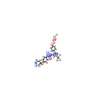 CCOCCOc1ccc(-n2nc(C(C)(C)C)cc2NC(=O)Nc2ccc(Oc3ccncc3)cc2)cc1